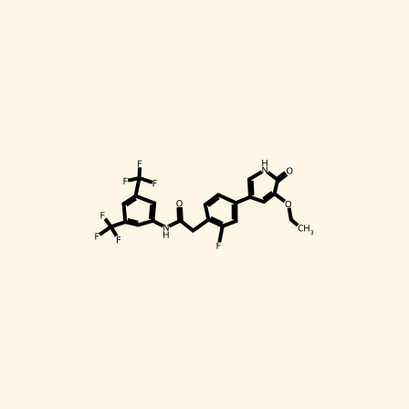 CCOc1cc(-c2ccc(CC(=O)Nc3cc(C(F)(F)F)cc(C(F)(F)F)c3)c(F)c2)c[nH]c1=O